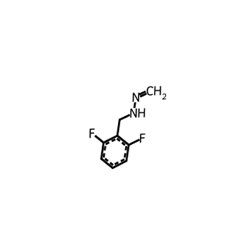 C=NNCc1c(F)cccc1F